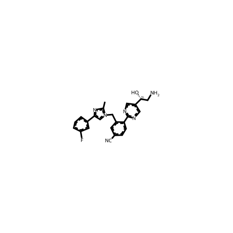 Cc1nc(-c2cccc(F)c2)cn1Cc1cc(C#N)ccc1-c1ncc([C@H](O)CN)cn1